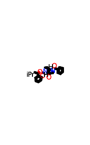 CC(C)CC(OC(=O)N1CC[C@@H]2[C@H]1C(=O)CN2C(=O)c1ccccc1)c1ccccc1